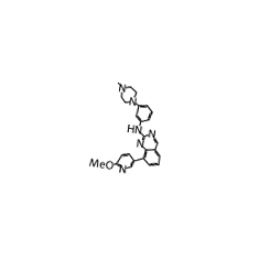 COc1ccc(-c2cccc3cnc(Nc4cccc(N5CCN(C)CC5)c4)nc23)cn1